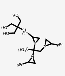 CCC(CO)(CO)CO.CCCC1CN1CC(C(=O)O)(N1CC1CCC)N1CC1CCC